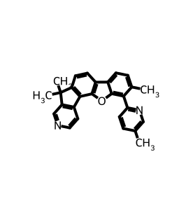 Cc1ccc(-c2c(C)ccc3c2oc2c4c(ccc23)C(C)(C)c2cnccc2-4)nc1